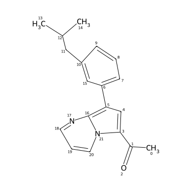 CC(=O)c1cc(-c2cccc(CC(C)C)c2)c2ncccn12